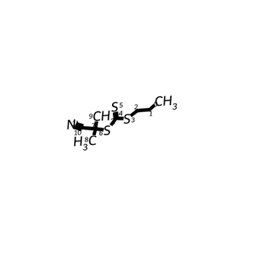 CCCSC(=S)SC(C)(C)C#N